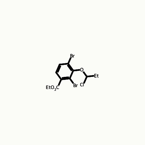 CCOC(=O)c1ccc(Br)c(OC(Cl)CC)c1Br